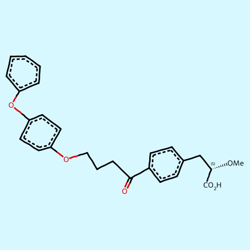 CO[C@@H](Cc1ccc(C(=O)CCCOc2ccc(Oc3ccccc3)cc2)cc1)C(=O)O